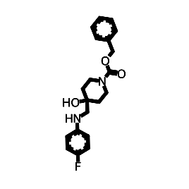 O=C(OCc1ccccc1)N1CCC(O)(CNc2ccc(F)cc2)CC1